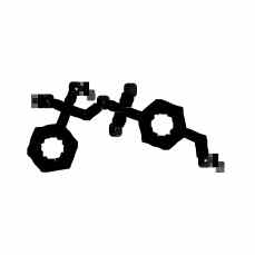 C=Cc1ccc(S(=O)(=O)OCC(C)(O)c2ccccc2)cc1